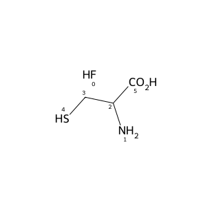 F.NC(CS)C(=O)O